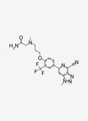 CN(CCCOc1ccc(-c2cc3c(nnn3C)c(C#N)n2)cc1C(F)(F)F)CC(N)=O